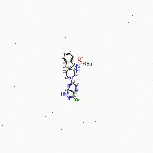 CC(C)(C)[S+]([O-])N[C@@H]1c2ccccc2CC12CCN(c1cnc3c(Br)n[nH]c3n1)CC2